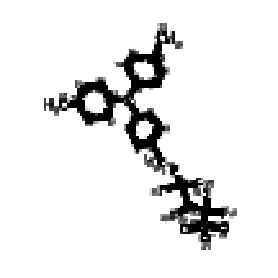 Cc1ccc([S+](c2ccc(C)cc2)c2ccc(C)cc2)cc1.O=S(=O)([O-])C(F)(F)C(F)C(F)(F)F